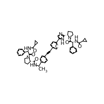 C[C@@H](NC(=O)[C@@H]1CCCN1C(=O)[C@H](NC(=O)C1CC1)c1ccccc1)c1ccc(C#Cc2ccc(-c3cnc([C@@H]4CCCN4C(=O)[C@H](NC(=O)C4CC4)c4ccccc4)[nH]3)cc2)cc1